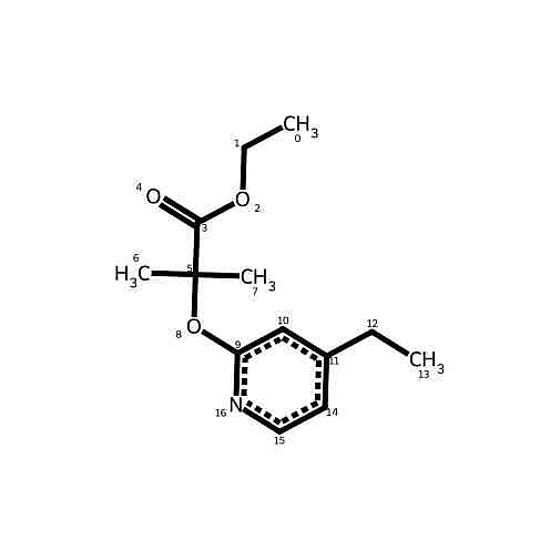 CCOC(=O)C(C)(C)Oc1cc(CC)ccn1